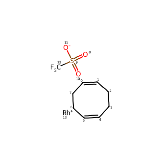 C1=CCCC=CCC1.O=S(=O)([O-])C(F)(F)F.[Rh+]